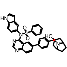 O=S(=O)(c1ccccc1)N(c1ccc2[nH]ccc2c1)c1ncnc2ccc(-c3ccc(CN4C5CCC4CC(O)C5)cc3)cc12